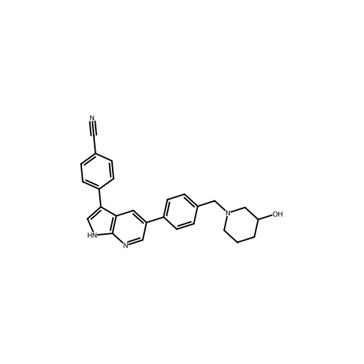 N#Cc1ccc(-c2c[nH]c3ncc(-c4ccc(CN5CCCC(O)C5)cc4)cc23)cc1